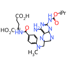 CC(C)OC(=O)Nc1nc(N)c2nc(CN(C)c3ccc(C(=O)N[C@@H](CCC(=O)O)C(=O)O)cc3)cnc2n1